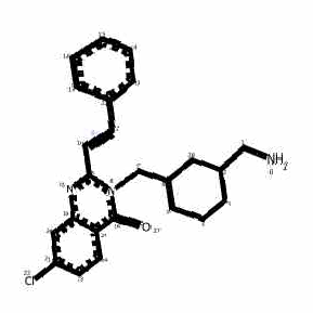 NCC1CCCC(Cn2c(/C=C/c3ccccc3)nc3cc(Cl)ccc3c2=O)C1